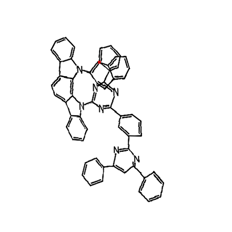 c1ccc(-c2cc(-c3ccccc3)nc(-c3cccc(-c4nc(-c5ccccc5)nc(-n5c6ccccc6c6ccc7c8ccccc8n(-c8ccc9ccccc9c8)c7c65)n4)c3)n2)cc1